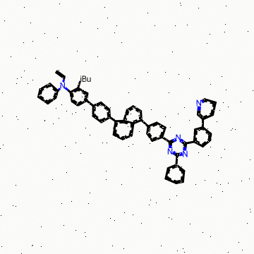 C=CN(c1ccccc1)c1ccc(-c2ccc(-c3cccc4c(-c5ccc(-c6nc(-c7ccccc7)nc(-c7cccc(-c8cccnc8)c7)n6)cc5)cccc34)cc2)cc1C(C)CC